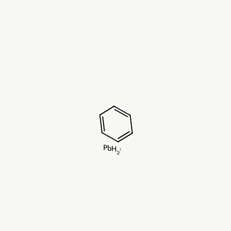 [PbH2].c1ccccc1